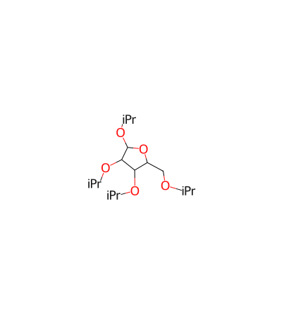 CC(C)OCC1OC(OC(C)C)C(OC(C)C)C1OC(C)C